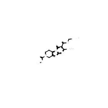 CCOC(=O)CNC(=O)c1c(SC)nc2sc3c(n2c1=O)CCN(C(=O)OC(C)(C)C)C3